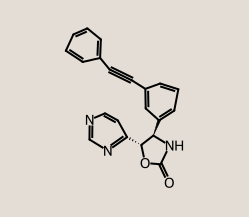 O=C1N[C@H](c2cccc(C#Cc3ccccc3)c2)[C@@H](c2ccncn2)O1